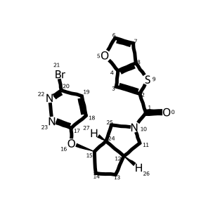 O=C(c1cc2occc2s1)N1C[C@@H]2CC[C@@H](Oc3ccc(Br)nn3)[C@@H]2C1